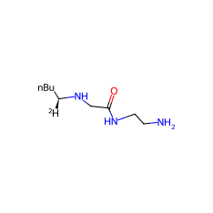 [2H][C@@H](CCCC)NCC(=O)NCCN